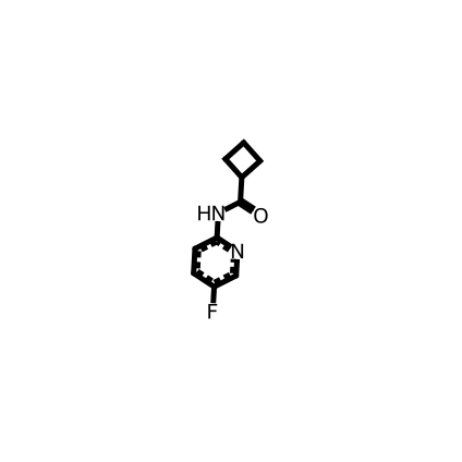 O=C(Nc1ccc(F)cn1)C1CCC1